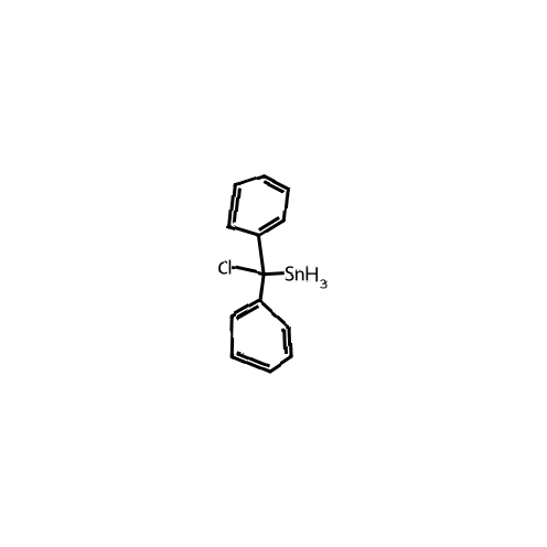 Cl[C]([SnH3])(c1ccccc1)c1ccccc1